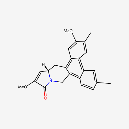 COC1=C[C@@H]2Cc3c(c4ccc(C)cc4c4cc(C)c(OC)cc34)CN2C1=O